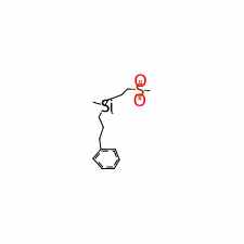 C[Si](C)(CCCc1ccccc1)CCCS(C)(=O)=O